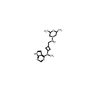 CC1CN([S+]([O-])CC2CC(N(C)c3ncnc4[nH]ccc34)C2)CC(C)O1